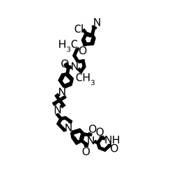 CC(CC1CCC(C)N1C(=O)c1ccc(N2CC3(CN(CC4CCN(c5ccc6c(c5)C(=O)N(C5CCC(=O)NC5=O)C6=O)CC4)C3)C2)cc1)Oc1ccc(C#N)c(Cl)c1